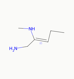 CC/C=C(/CN)NC